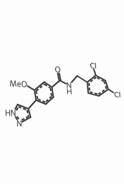 COc1cc(C(=O)NCc2ccc(Cl)cc2Cl)ccc1-c1cn[nH]c1